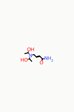 CC(O)N(CC=CC(N)=O)C(C)O